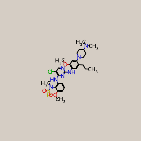 CCCc1cc(Nc2ncc(Cl)c(Nc3cccc(OC)c3N(C)[SH](=O)=O)n2)c(OC)cc1N1CCC(N(C)C)CC1